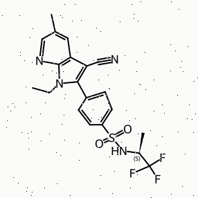 CCn1c(-c2ccc(S(=O)(=O)N[C@@H](C)C(F)(F)F)cc2)c(C#N)c2cc(C)cnc21